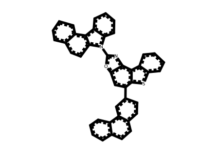 c1ccc2c(c1)ccc1ccc(-c3cc4oc(-n5c6ccccc6c6c7ccccc7ccc65)nc4c4c3sc3ccccc34)cc12